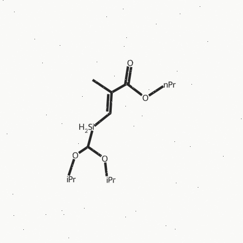 CCCOC(=O)C(C)=C[SiH2]C(OC(C)C)OC(C)C